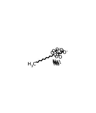 CCCCCCCCCCCC(=O)OC(C(=O)[O-])C(O)(CC(=O)[O-])C(=O)[O-].[Na+].[Na+].[Na+]